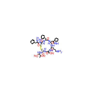 CC(O)C(CO)NC(=O)[C@@H]1CSSC[C@H](NC(=O)[C@H](N)Cc2ccccc2)C(=O)N[C@@H](Cc2ccccc2)C(=O)NC(Cc2c[nH]c3ccccc23)C(=O)N[C@@H](CCCCN)C(=O)N[C@@H]([C@@H](C)O)C(=O)N1